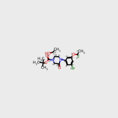 CC(F)Oc1cc(Br)cc(N2C[C@@H](C(C)O)N(C(=O)OC(C)(C)C)CC2=O)c1